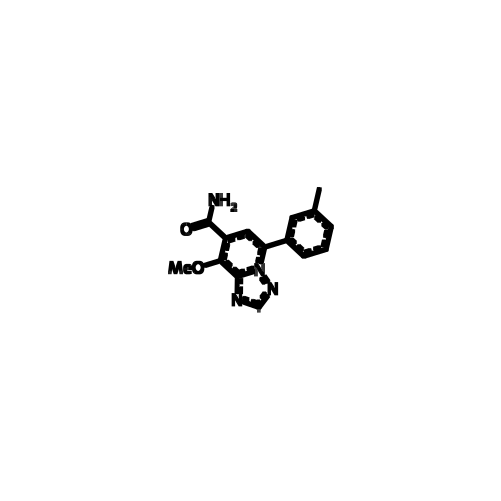 COc1c(C(N)=O)cc(-c2cccc(C)c2)n2n[c]nc12